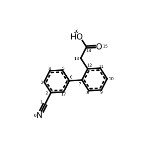 N#Cc1cccc(-c2ccccc2CC(=O)O)c1